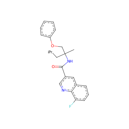 CC(C)CC(C)(COc1ccccc1)NC(=O)c1cnc2c(F)cccc2c1